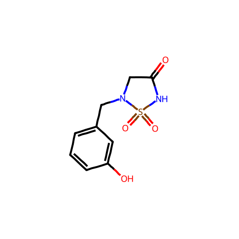 O=C1CN(Cc2cccc(O)c2)S(=O)(=O)N1